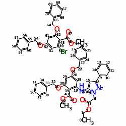 CCOC(=O)Cn1nc(-c2ccccc2)cc1Nc1cc(OCc2ccccc2)cc(OCc2ccccc2)c1C(=O)OC.COC(=O)c1c(Br)cc(OCc2ccccc2)cc1OCc1ccccc1